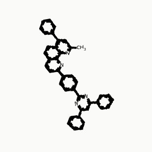 Cc1cc(-c2ccccc2)c2ccc3ccc(-c4ccc(-c5nc(-c6ccccc6)cc(-c6ccccc6)n5)cc4)nc3c2n1